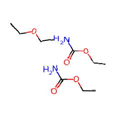 CCOC(N)=O.CCOC(N)=O.CCOCC